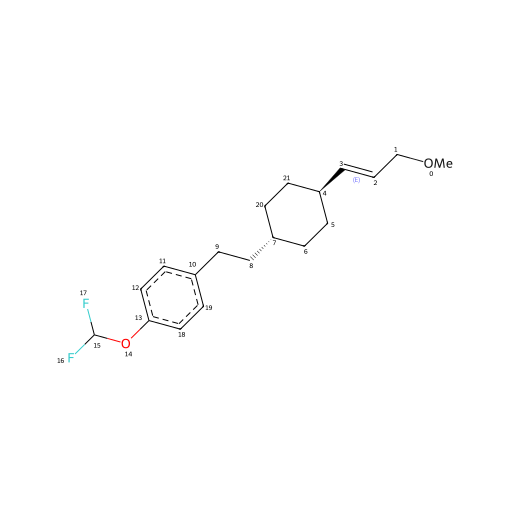 COC/C=C/[C@H]1CC[C@H](CCc2ccc(OC(F)F)cc2)CC1